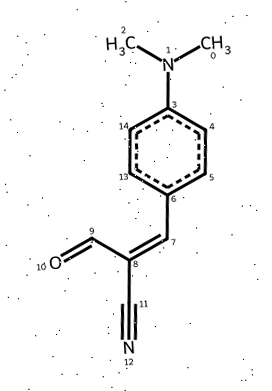 CN(C)c1ccc(C=C([C]=O)C#N)cc1